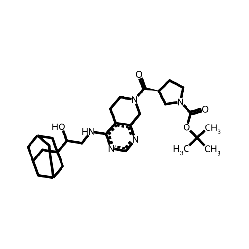 CC(C)(C)OC(=O)N1CC[C@H](C(=O)N2CCc3c(ncnc3NCC(O)C34CC5CC(CC(C5)C3)C4)C2)C1